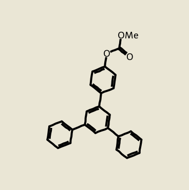 COC(=O)Oc1ccc(-c2cc(-c3ccccc3)cc(-c3ccccc3)c2)cc1